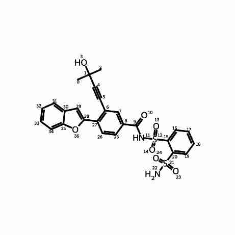 CC(C)(O)C#Cc1cc(C(=O)NS(=O)(=O)c2ccccc2S(N)(=O)=O)ccc1-c1cc2ccccc2o1